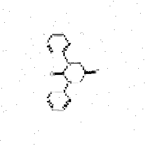 O=C1CN(c2ccccc2)C(=O)N(c2ccccc2)C1